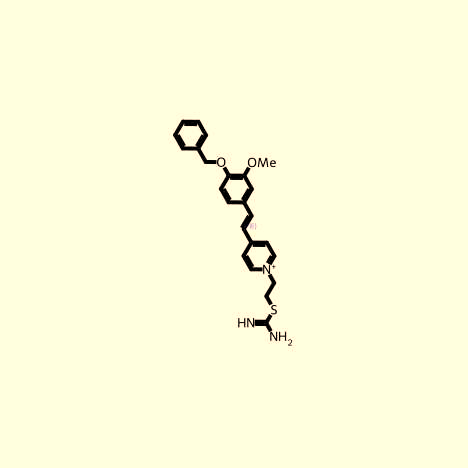 COc1cc(/C=C/c2cc[n+](CCSC(=N)N)cc2)ccc1OCc1ccccc1